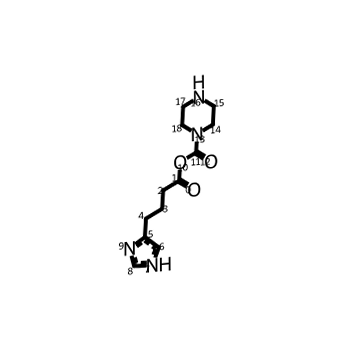 O=C(CCCc1c[nH]cn1)OC(=O)N1CCNCC1